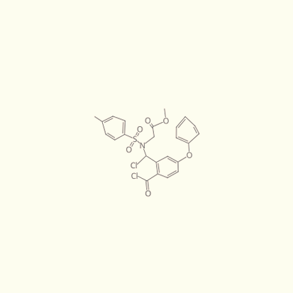 COC(=O)CN(C(Cl)c1cc(Oc2ccccc2)ccc1C(=O)Cl)S(=O)(=O)c1ccc(C)cc1